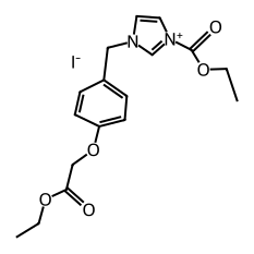 CCOC(=O)COc1ccc(Cn2cc[n+](C(=O)OCC)c2)cc1.[I-]